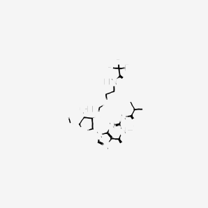 CC(C)C(=O)Nc1nc2c(ncn2[C@@H]2O[C@H](CO)[C@H](O)[C@H]2OCOCCNC(=O)C(F)(F)F)c(=O)[nH]1